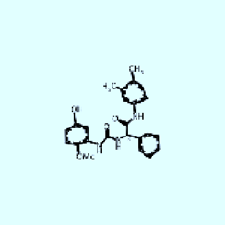 COc1ccc(O)cc1NC(=O)N[C@@H](C(=O)Nc1ccc(C)c(C)c1)c1ccccc1